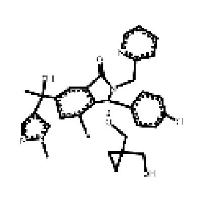 Cn1cc(C(C)(O)c2cc(F)c3c(c2)C(=O)N(Cc2ccccn2)[C@@]3(OCC2(CO)CC2)c2ccc(Cl)cc2)cn1